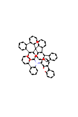 c1ccc(-c2ccccc2N(c2ccc3c(c2)C2(c4ccccc4-c4ccccc4-3)c3ccccc3-c3c2ccc2c3-c3ccccc3C2)c2cccc3c2oc2ccccc23)cc1